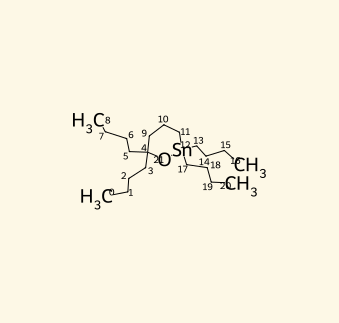 CCCCC1(CCCC)CC[CH2][Sn]([CH2]CCC)([CH2]CCC)[O]1